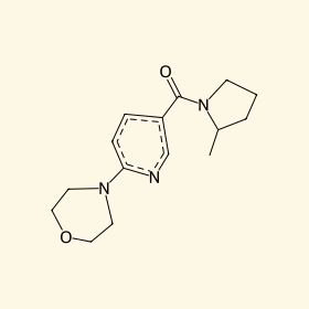 CC1CCCN1C(=O)c1ccc(N2CCOCC2)nc1